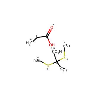 CCC(=O)O.CCCCSC(C)(SCCCC)C(=O)O